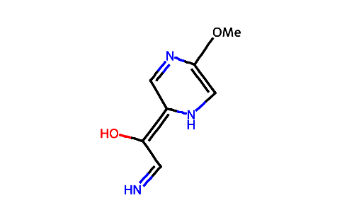 COC1=CN/C(=C(/O)C=N)C=N1